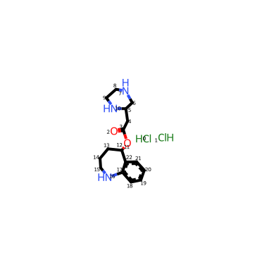 Cl.Cl.O=C(CC1CNCCN1)OC1CCCNc2ccccc21